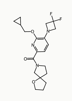 O=C(c1ccc(N2CC(F)(F)C2)c(OCC2CC2)n1)N1CCC2(CCCO2)C1